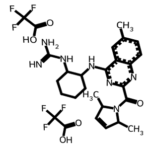 Cc1ccc2nc(C(=O)N3C(C)C=CC3C)nc(NC3CCCCC3NC(=N)N)c2c1.O=C(O)C(F)(F)F.O=C(O)C(F)(F)F